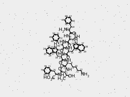 C[C@@H](O)[C@H](NC(=O)[C@H](CCCCCN)NC(=O)[C@@H](Cc1c[nH]c2ccccc12)NC(=O)[C@H](Cc1c[nH]c2ccccc12)NC(=O)[C@H](Cc1ccccc1)NC(=O)[C@H](CS)NC(=O)[C@H](N)Cc1ccccc1)C(=O)N[C@@H](Cc1ccccc1)C(=O)O